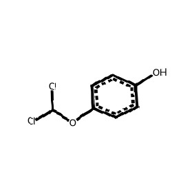 Oc1ccc(OC(Cl)Cl)cc1